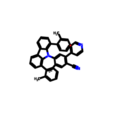 Cc1ccccc1-c1cccc2c3cccc(-c4ccccc4C)c3n(-c3cc(-c4ccncc4)c(C#N)cc3C)c12